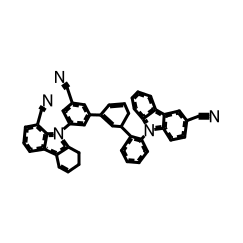 N#Cc1cc(C2=CC(c3ccccc3-n3c4ccccc4c4cc(C#N)ccc43)CC=C2)cc(-n2c3c(c4cccc(C#N)c42)C=CCC3)c1